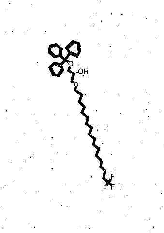 O[C@H](COCCCCCCCCCCCCCCCCCC(F)(F)F)COC(c1ccccc1)(c1ccccc1)c1ccccc1